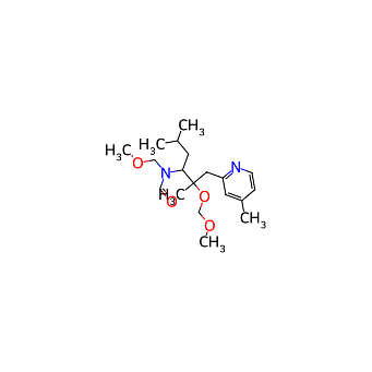 COCOC(C)(Cc1cc(C)ccn1)C(CC(C)C)N(C=O)COC